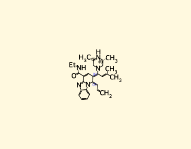 C=C/C=c1/c(=C(\C=C(C)C)N2C[C@@H](C)N[C@@H](C)C2)cc(C(=O)NCC)c2nc3ccccc3n12